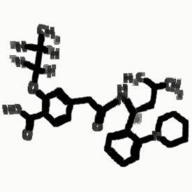 [2H]C([2H])(C)C([2H])([2H])Oc1cc(CC(=O)N[C@@H](CC(C)C)c2ccccc2N2CCCCC2)ccc1C(=O)O